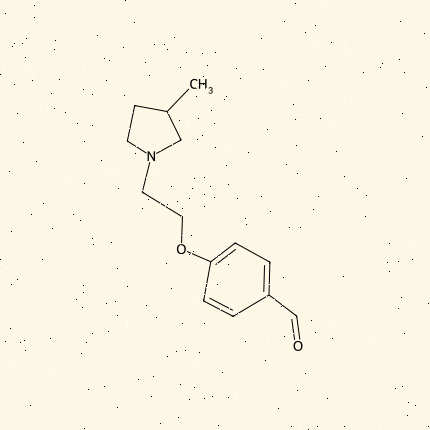 CC1CCN(CCOc2ccc(C=O)cc2)C1